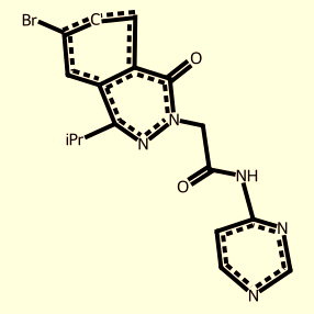 CC(C)c1nn(CC(=O)Nc2ccncn2)c(=O)c2ccc(Br)cc12